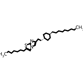 CCCCCCCCC[C@H]1CC[C@H](CCc2cn3cc(CCCCCCC)sc3n2)CC1